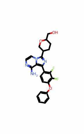 Nc1nccn2c(C3CCC(CO)OC3)nc(-c3ccc(Oc4ccccc4)c(F)c3F)c12